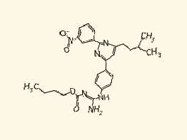 CCCCOC(=O)N=C(N)Nc1ccc(-c2cc(CCC(C)C)nc(-c3cccc([N+](=O)[O-])c3)n2)cc1